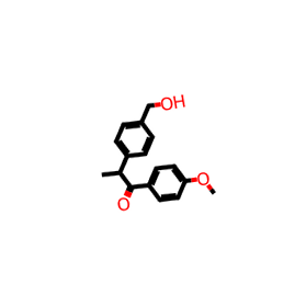 COc1ccc(C(=O)C(C)c2ccc(CO)cc2)cc1